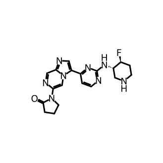 O=C1CCCN1c1cn2c(-c3ccnc(N[C@H]4CNCC[C@@H]4F)n3)cnc2cn1